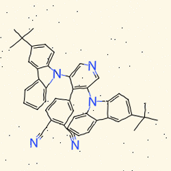 CC(C)(C)c1ccc2c(c1)c1ccccc1n2-c1cncc(-n2c3ccccc3c3cc(C(C)(C)C)ccc32)c1-c1ccc(C#N)c(C#N)c1